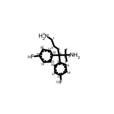 CC(C)(N)C(CCCN)(c1ccc(F)cc1)c1ccc(F)cc1